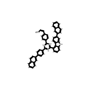 CCC/C=C\c1ccc(-c2nc(-c3ccc(-c4ccc5ccccc5c4)cc3)nc(-c3cccc4oc5cc(-c6ccc7ccccc7c6)ccc5c34)n2)cc1